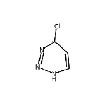 Cl[C]1C=CNN=N1